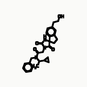 CC(C1CC1)N(Cc1ccccc1)C(=O)CN1C(=O)NC2(CCc3cc(CCO)ccc32)C1=O